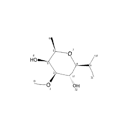 CO[C@H]1[C@@H](O)[C@@H](C)O[C@@H](C(C)C)[C@@H]1O